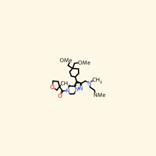 CNCCN(C)Cc1nn2c(c1C1CCC(COC)(COC)CC1)CN(C(=O)C1(C)CCOC1)CC2